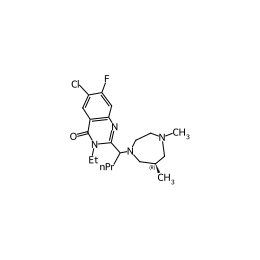 CCCC(c1nc2cc(F)c(Cl)cc2c(=O)n1CC)N1CCN(C)C[C@@H](C)C1